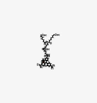 CCCCCCCCCCCCCCCC(=O)OCC(COP(=O)(O)OCCNS(=O)(=O)c1ccc(-c2c3ccc(=[N+](CC)CC)cc-3oc3cc(N(CC)CC)ccc23)c(S(=O)(=O)[O-])c1)OC(=O)CCCCCCCCCCCCCCC